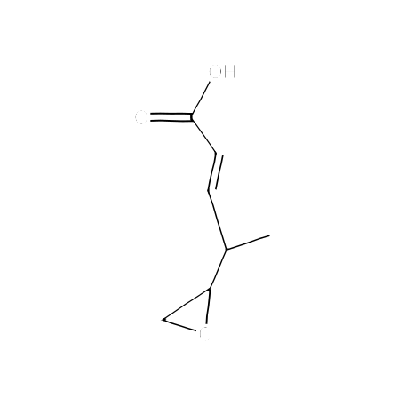 CC(C=CC(=O)O)C1CO1